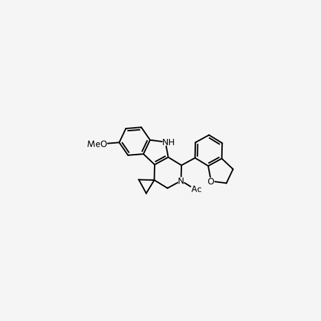 COc1ccc2[nH]c3c(c2c1)C1(CC1)CN(C(C)=O)C3c1cccc2c1OCC2